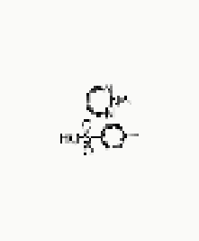 Cc1ccc(S(=O)(=O)O)cc1.S=[n+]1nccccn1